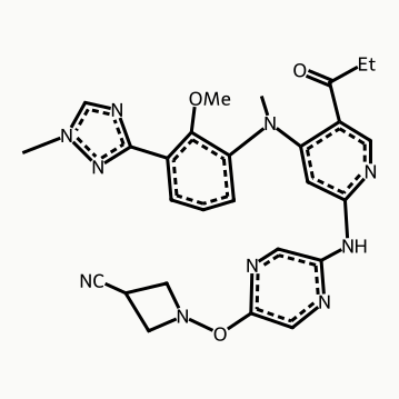 CCC(=O)c1cnc(Nc2cnc(ON3CC(C#N)C3)cn2)cc1N(C)c1cccc(-c2ncn(C)n2)c1OC